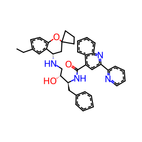 CCc1ccc2c(c1)[C@@H](NC[C@@H](O)[C@H](Cc1ccccc1)NC(=O)c1cc(-c3ccccn3)nc3ccccc13)CC1(CCC1)O2